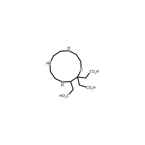 O=C(O)CC1NCCNCCNCCOC1(CC(=O)O)CC(=O)O